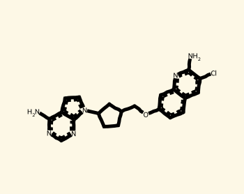 Nc1nc2cc(OCC3CCC(n4ccc5c(N)ncnc54)C3)ccc2cc1Cl